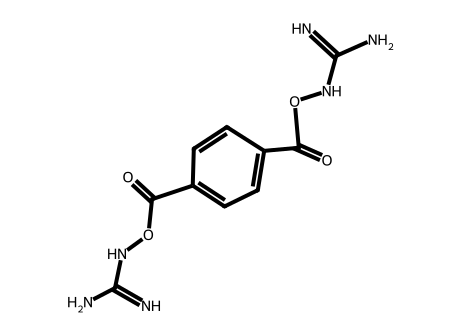 N=C(N)NOC(=O)c1ccc(C(=O)ONC(=N)N)cc1